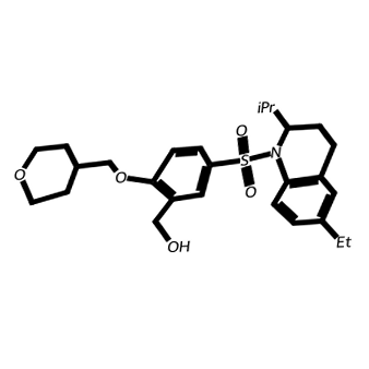 CCc1ccc2c(c1)CCC(C(C)C)N2S(=O)(=O)c1ccc(OCC2CCOCC2)c(CO)c1